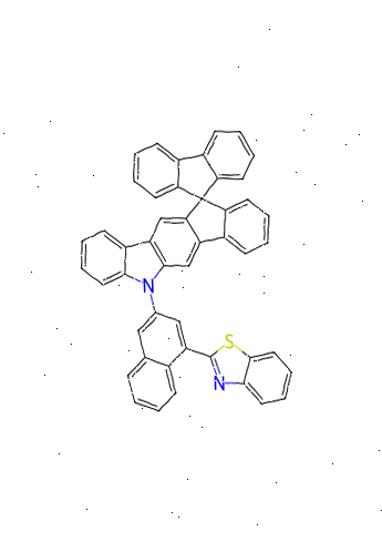 c1ccc2c(c1)-c1ccccc1C21c2ccccc2-c2cc3c(cc21)c1ccccc1n3-c1cc(-c2nc3ccccc3s2)c2ccccc2c1